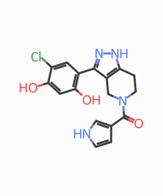 O=C(c1cc[nH]c1)N1CCc2[nH]nc(-c3cc(Cl)c(O)cc3O)c2C1